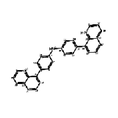 c1cnc2c(-c3ccc(Nc4ccc(-c5cccc6cccnc56)cc4)cc3)cccc2c1